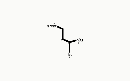 CCCCCCCC(CC)CCCC